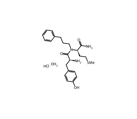 CSCC[C@H](C(N)=O)N(CCCc1ccccc1)C(=O)[C@@H](N)Cc1ccc(O)cc1.Cl.O